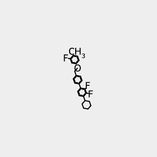 Cc1ccc(OCc2ccc(-c3ccc(C4CCCCC4)c(F)c3F)cc2)cc1F